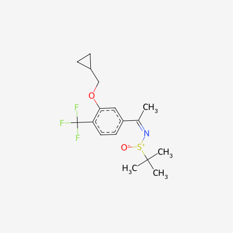 C/C(=N/[S+]([O-])C(C)(C)C)c1ccc(C(F)(F)F)c(OCC2CC2)c1